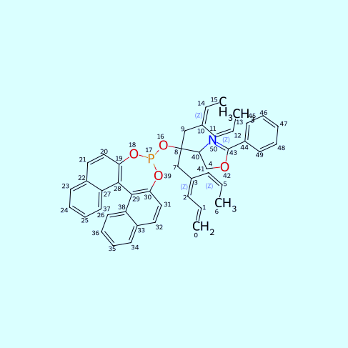 C=C/C=C(\C=C/C)CC(CC(/C=C\C)=C/C)(Op1oc2ccc3ccccc3c2c2c(ccc3ccccc32)o1)C1COC(c2ccccc2)=N1